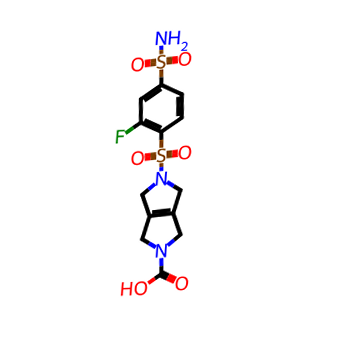 NS(=O)(=O)c1ccc(S(=O)(=O)N2CC3=C(CN(C(=O)O)C3)C2)c(F)c1